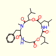 CC(C)CC1NC(=O)C(CC(C)C)OC(=O)CCNC(=O)C(Cc2ccccc2)N(C)C(=O)C(CC(C)C)OC1=O